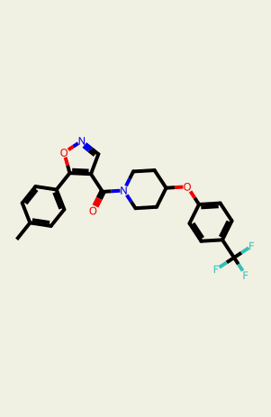 Cc1ccc(-c2oncc2C(=O)N2CCC(Oc3ccc(C(F)(F)F)cc3)CC2)cc1